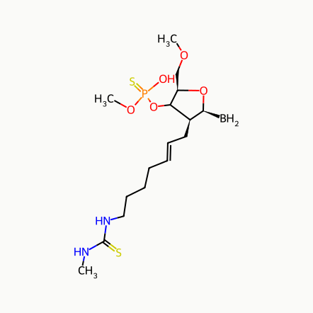 B[C@@H]1O[C@H](COC)C(OP(O)(=S)OC)[C@@H]1C/C=C/CCCCNC(=S)NC